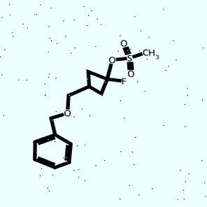 CS(=O)(=O)OC1(F)CC(COCc2ccccc2)C1